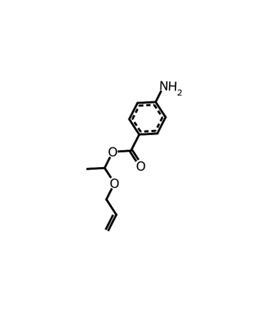 C=CCOC(C)OC(=O)c1ccc(N)cc1